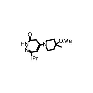 COC1(C)CCN(C2=CC(C(C)C)=NNC(=O)C2)CC1